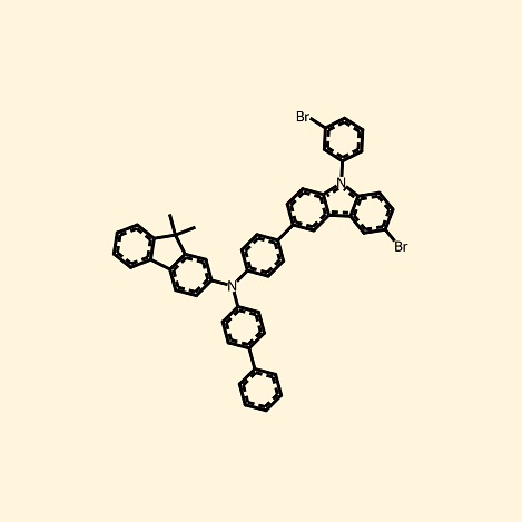 CC1(C)c2ccccc2-c2ccc(N(c3ccc(-c4ccccc4)cc3)c3ccc(-c4ccc5c(c4)c4cc(Br)ccc4n5-c4cccc(Br)c4)cc3)cc21